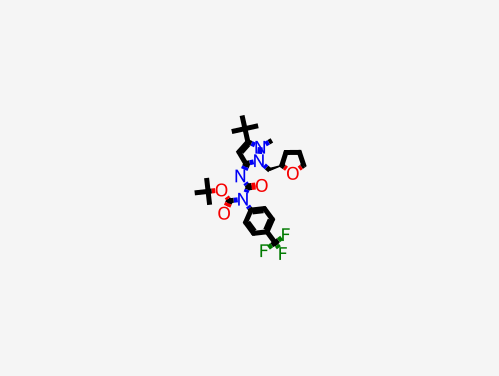 Cn1c(C(C)(C)C)cc(=NC(=O)N(C(=O)OC(C)(C)C)c2ccc(C(F)(F)F)cc2)n1C[C@H]1CCCO1